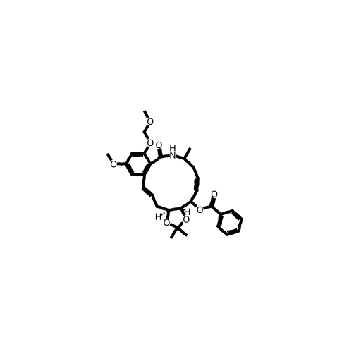 COCOc1cc(OC)cc2c1C(=O)NC(C)C/C=C\C(OC(=O)c1ccccc1)[C@H]1OC(C)(C)O[C@H]1C/C=C/2